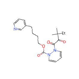 CCC(C)(C)C(=O)C(=O)N1C=CC=CN1C(=O)OCCCCc1cccnc1